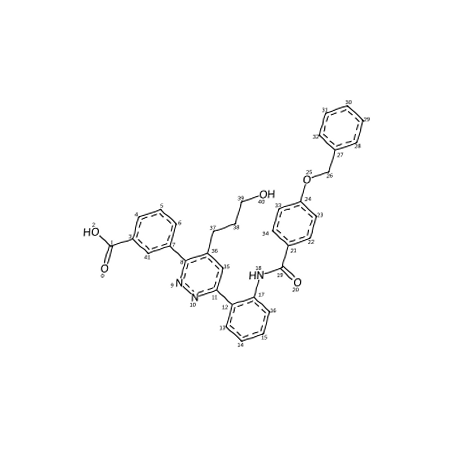 O=C(O)c1cccc(-c2nnc(-c3ccccc3NC(=O)c3ccc(OCc4ccccc4)cc3)cc2CCCO)c1